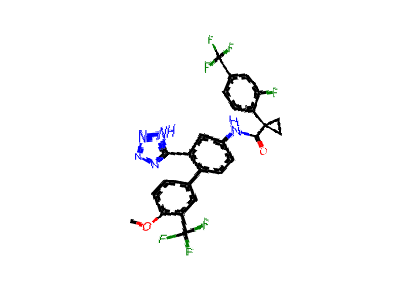 COc1ccc(-c2ccc(NC(=O)C3(c4ccc(C(F)(F)F)cc4F)CC3)cc2-c2nnn[nH]2)cc1C(F)(F)F